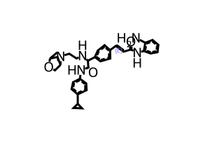 Nc1ccccc1NC(=O)/C=C/c1ccc(C(NCCN2CC3CC2CO3)C(=O)Nc2ccc(C3CC3)cc2)cc1